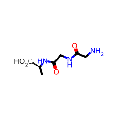 C[C@H](NC(=O)CNC(=O)CN)C(=O)O